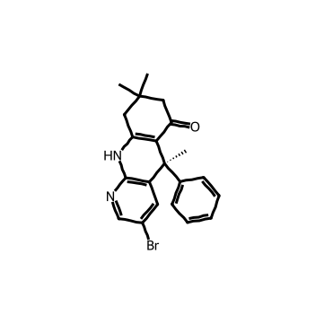 CC1(C)CC(=O)C2=C(C1)Nc1ncc(Br)cc1[C@]2(C)c1ccccc1